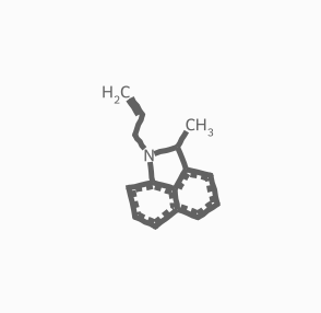 C=CCN1c2cccc3cccc(c23)C1C